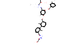 Cc1c(COc2cc(OCc3cccc(C#N)c3)c(CN[C@H](C(=O)O)C(C)O)cc2[N+](=O)[O-])cccc1-c1cccc(-c2nnc(CO)o2)c1C